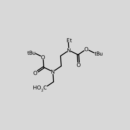 CCN(CCN(CC(=O)O)C(=O)OC(C)(C)C)C(=O)OC(C)(C)C